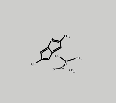 CC1=CC2=CC(C)=NC2=C1.C[SiH](C)[O][Zr+2].[Cl-].[Cl-]